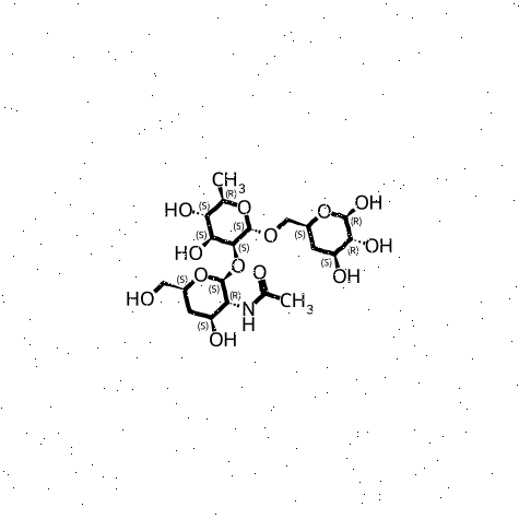 CC(=O)N[C@H]1[C@H](O[C@@H]2[C@@H](OC[C@@H]3C[C@H](O)[C@@H](O)[C@H](O)O3)O[C@H](C)[C@@H](O)[C@@H]2O)O[C@H](CO)C[C@@H]1O